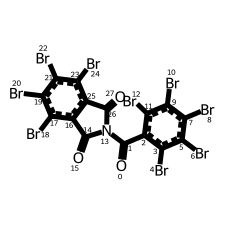 O=C(c1c(Br)c(Br)c(Br)c(Br)c1Br)N1C(=O)c2c(Br)c(Br)c(Br)c(Br)c2C1=O